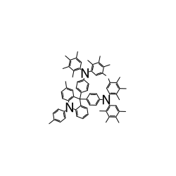 Cc1ccc(N2c3ccccc3C(c3ccc(N(c4cc(C)c(C)c(C)c4C)c4cc(C)c(C)c(C)c4C)cc3)(c3ccc(N(c4cc(C)c(C)c(C)c4C)c4cc(C)c(C)c(C)c4C)cc3)c3cc(C)ccc32)cc1